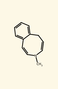 CN1/C=C\Cc2ccccc2/C=C\1